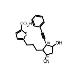 N#C[C@@H]1CC(O)[C@H](C#Cc2ccccc2)C1CCCc1ccc(C(=O)O)s1